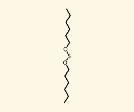 CCCCCCOSOCCCCCC